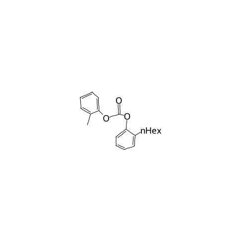 CCCCCCc1ccccc1OC(=O)Oc1ccccc1C